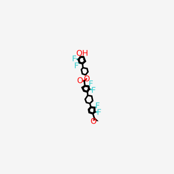 O=C(OC1CCC(c2ccc(O)c(F)c2F)CC1)c1ccc(C2CCC(c3ccc(C4CO4)c(F)c3F)CC2)c(F)c1F